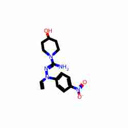 C=CN(/N=C(\N)N1CCC(O)CC1)c1ccc([N+](=O)[O-])cc1